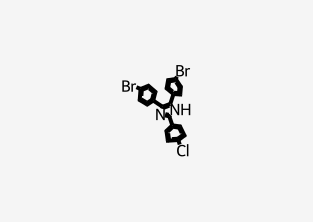 Clc1ccc(-c2nc(-c3ccc(Br)cc3)c(-c3ccc(Br)cc3)[nH]2)cc1